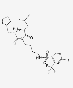 CC(C)C[C@H](N)C(=O)N(CCCCNS(=O)(=O)c1ccc(F)cc1C(F)(F)F)C(=O)CCC1CCCC1